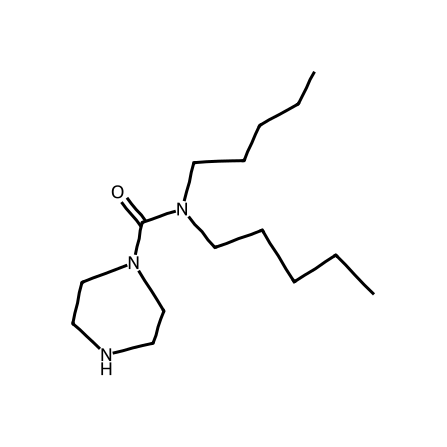 CCCCCN(CCCCC)C(=O)N1CCNCC1